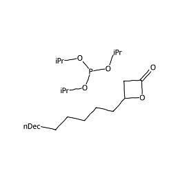 CC(C)OP(OC(C)C)OC(C)C.CCCCCCCCCCCCCCCC1CC(=O)O1